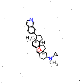 CN(C1CC1)C1CCC2=CC3=CC[C@]4(C)C(c5ccc6ccncc6c5)CC[C@H]4[C@@]34CC[C@]2(C1)O4